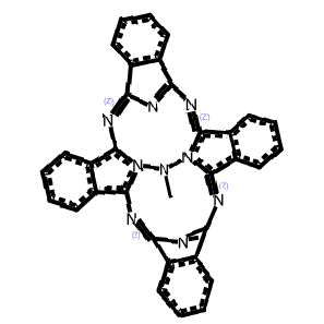 CN1n2c3c4ccccc4c2/N=C2N=C(/N=c4/c5ccccc5/c(n41)=N/C1=NC(=N\3)/c3ccccc31)c1ccccc1\2